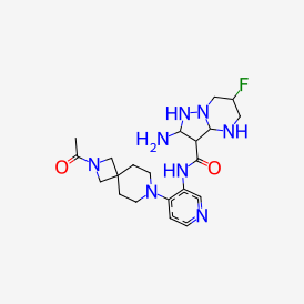 CC(=O)N1CC2(CCN(c3ccncc3NC(=O)C3C(N)NN4CC(F)CNC34)CC2)C1